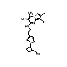 Cc1nn2c(N)c(C#N)c(NCCc3ccn(C4CCC4CO)n3)nc2c1Cl